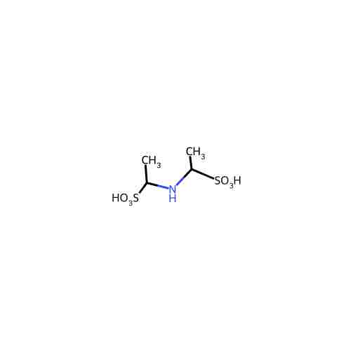 CC(NC(C)S(=O)(=O)O)S(=O)(=O)O